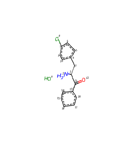 Cl.NC(Cc1ccc(Cl)cc1)C(=O)c1ccccc1